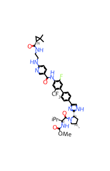 COC(=O)N[C@H](C(=O)N1C[C@@H](C)C[C@H]1c1nc(-c2ccc(-c3cc(F)c(NC(=O)c4ccc(NCCNC(=O)[C@H]5CC5(C)C)nc4)cc3C(F)(F)F)cc2)c[nH]1)C(C)C